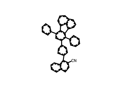 N#Cc1ccc2ccccc2c1-c1ccc(-c2cc(-c3ccccc3)c3c(c2-c2ccccc2)-c2cccc4cccc-3c24)cc1